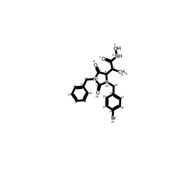 CC(C(=O)NO)C1C(=O)N(Cc2ccccc2)C(=O)N1Cc1ccc(Br)cc1